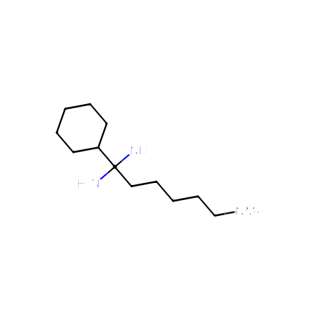 CNCCCCCC(N)(N)C1CCCCC1